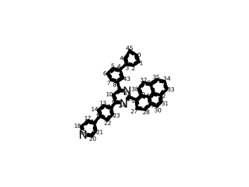 c1ccc(-c2cccc(-c3cc(-c4ccc(-c5ccncc5)cc4)nc(-c4ccc5ccc6cccc7ccc4c5c67)n3)c2)cc1